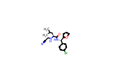 CC(C)C[C@H](NCC#N)C(=O)N[C@@H](c1ccc(Br)cc1)c1ccco1